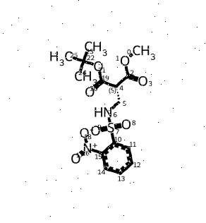 COC(=O)[C@H](CNS(=O)(=O)c1ccccc1[N+](=O)[O-])C(=O)OC(C)(C)C